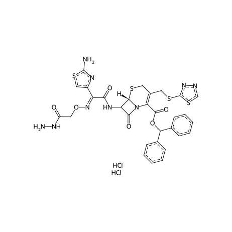 Cl.Cl.NNC(=O)CON=C(C(=O)NC1C(=O)N2C(C(=O)OC(c3ccccc3)c3ccccc3)=C(CSc3nncs3)CS[C@@H]12)c1csc(N)n1